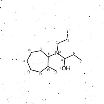 CCCN(C(O)CC)C1CCCCCC1C